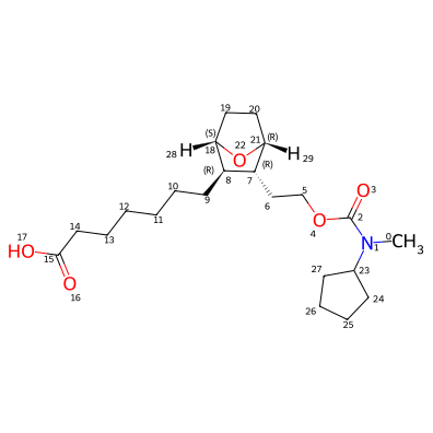 CN(C(=O)OCC[C@@H]1[C@@H](CCCCCCC(=O)O)[C@@H]2CC[C@H]1O2)C1CCCC1